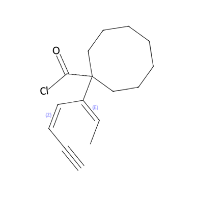 C#C/C=C\C(=C/C)C1(C(=O)Cl)CCCCCCC1